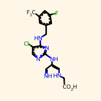 N=C/C(=C\NCC(=O)O)Nc1ncc(Cl)c(NCc2cc(F)cc(C(F)(F)F)c2)n1